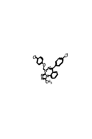 Cc1nnc2n1-c1ccccc1C(c1ccc(Cl)cc1)=NN2COc1ccc(Cl)cc1